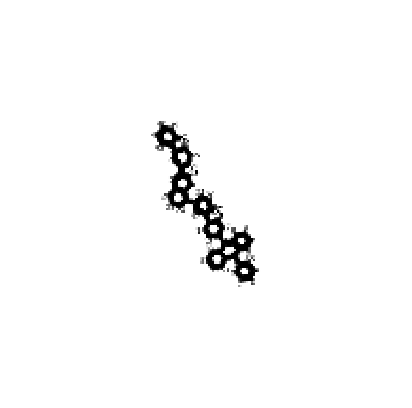 c1ccc(-c2c3ccccc3c(-c3ccc4c(c3)sc3ccc(-c5cccc6cc7c(cc56)sc5cc6sc8ccccc8c6cc57)cc34)c3ccccc23)cc1